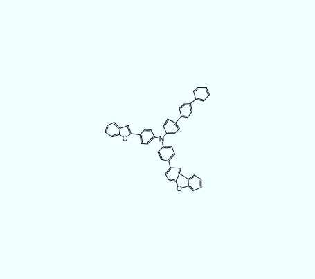 c1ccc(-c2ccc(-c3ccc(N(c4ccc(-c5ccc6oc7ccccc7c6c5)cc4)c4ccc(-c5cc6ccccc6o5)cc4)cc3)cc2)cc1